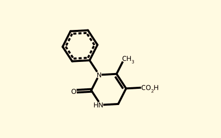 CC1=C(C(=O)O)CNC(=O)N1c1ccccc1